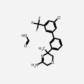 CC1(c2cccc(-c3cc(Cl)cc(C(F)(F)F)c3)c2)COCC(N)=N1.O=CO